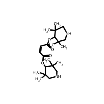 CC1(C)CNCC(C)(C)C1OC(=O)/C=C\C(=O)OC1C(C)(C)CNCC1(C)C